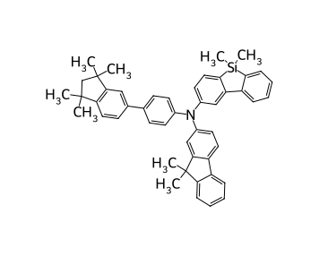 CC1(C)CC(C)(C)c2cc(-c3ccc(N(c4ccc5c(c4)-c4ccccc4[Si]5(C)C)c4ccc5c(c4)C(C)(C)c4ccccc4-5)cc3)ccc21